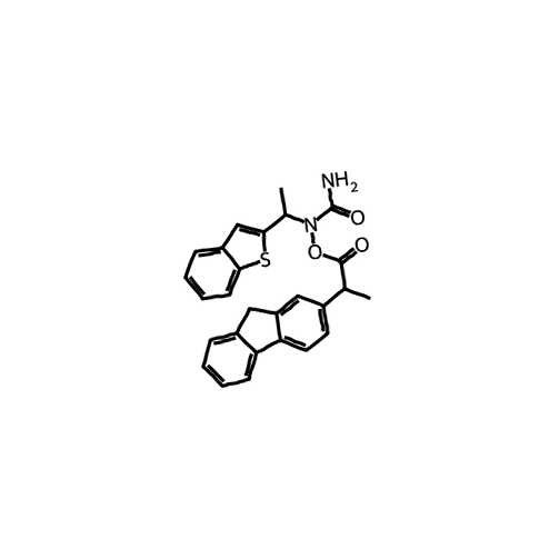 CC(C(=O)ON(C(N)=O)C(C)c1cc2ccccc2s1)c1ccc2c(c1)Cc1ccccc1-2